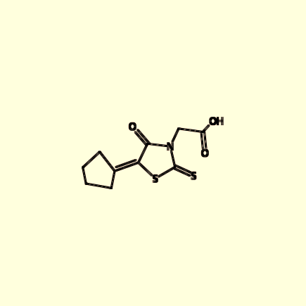 O=C(O)CN1C(=O)C(=C2CCCC2)SC1=S